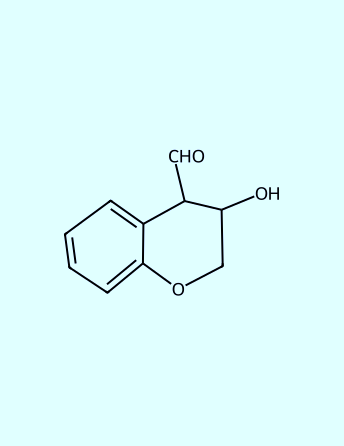 O=CC1c2ccccc2OCC1O